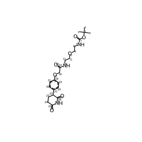 CC(C)(C)OC(=O)NCCOCCNC(=O)COc1ccc(C2CCC(=O)NC2=O)cc1